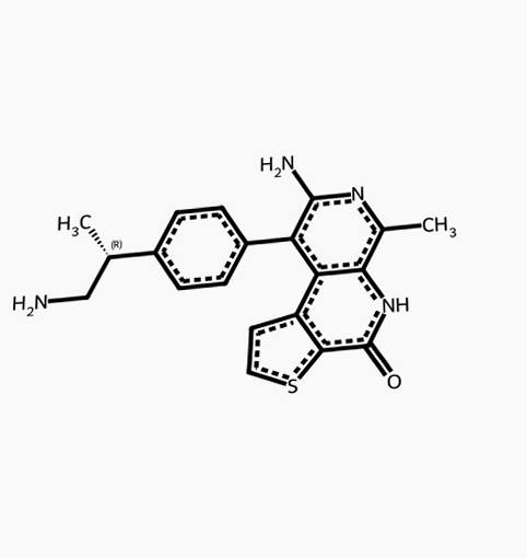 Cc1nc(N)c(-c2ccc([C@@H](C)CN)cc2)c2c1[nH]c(=O)c1sccc12